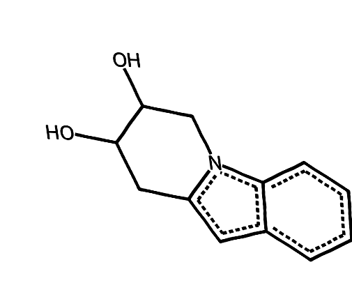 OC1Cc2cc3ccccc3n2CC1O